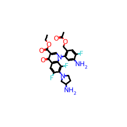 CCOC(=O)c1cn(-c2cc(N)c(F)cc2COC(C)=O)c2c(F)c(N3CCC(N)C3)c(F)cc2c1=O